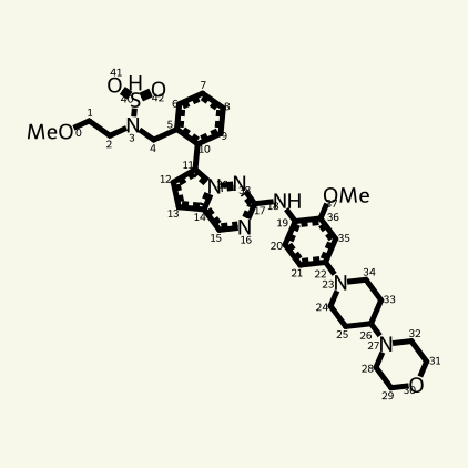 COCCN(Cc1ccccc1-c1ccc2cnc(Nc3ccc(N4CCC(N5CCOCC5)CC4)cc3OC)nn12)[SH](=O)=O